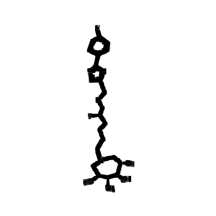 O[C@H]1[C@H](O)[C@@H](O)CN(CCCC[C@@H](F)COCc2csc(-c3ccc(F)cc3)n2)C[C@@H]1O